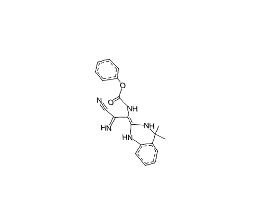 CC1(C)N/C(=C(\NC(=O)Oc2ccccc2)C(=N)C#N)Nc2ccccc21